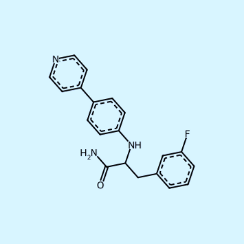 NC(=O)C(Cc1cccc(F)c1)Nc1ccc(-c2ccncc2)cc1